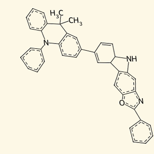 CC1(C)c2ccccc2N(c2ccccc2)c2ccc(C3=CC4c5cc6oc(-c7ccccc7)nc6cc5NC4C=C3)cc21